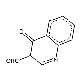 O=CC1C=Nc2ccccc2C1=O